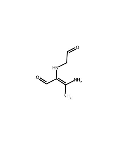 NC(N)=C(C=O)NCC=O